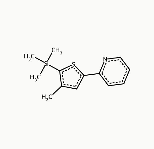 Cc1cc(-c2ccccn2)sc1[Si](C)(C)C